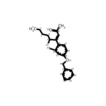 CCCCC(I)C(=CC(C)=O)c1ccc(OCc2ccccc2)cc1I